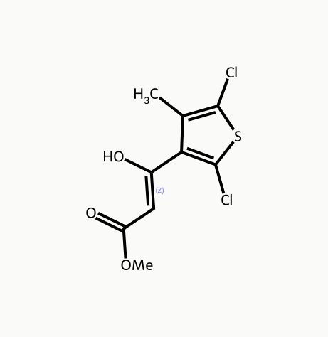 COC(=O)/C=C(\O)c1c(Cl)sc(Cl)c1C